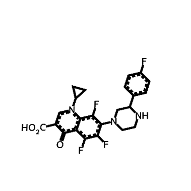 O=C(O)c1cn(C2CC2)c2c(F)c(N3CCNC(c4ccc(F)cc4)C3)c(F)c(F)c2c1=O